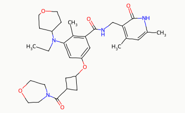 CCN(c1cc(OC2CC(C(=O)N3CCOCC3)C2)cc(C(=O)NCc2c(C)cc(C)[nH]c2=O)c1C)C1CCOCC1